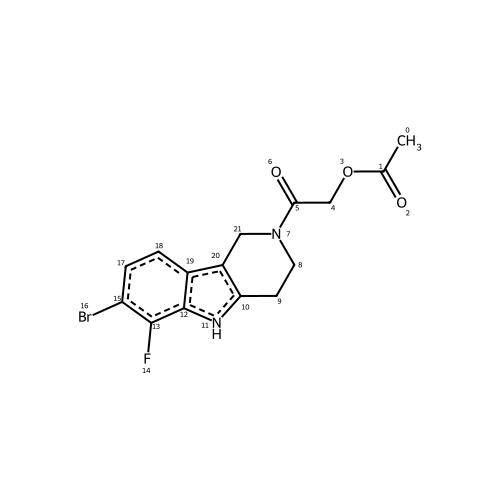 CC(=O)OCC(=O)N1CCc2[nH]c3c(F)c(Br)ccc3c2C1